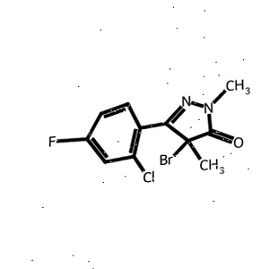 CN1N=C(c2ccc(F)cc2Cl)C(C)(Br)C1=O